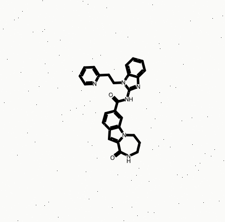 O=C(Nc1nc2ccccc2n1CCc1ccccn1)c1ccc2cc3n(c2c1)CCCNC3=O